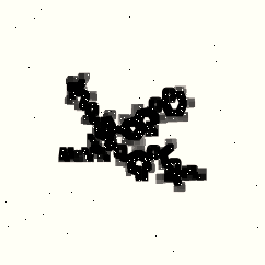 CNc1nc(OCc2cncc(OC(C)CO[Si](C)(C)C(C)(C)C)c2)c2c(-c3ccc4ncc(OC5CCCCO5)cc4c3)cn(COCC[Si](C)(C)C)c2n1